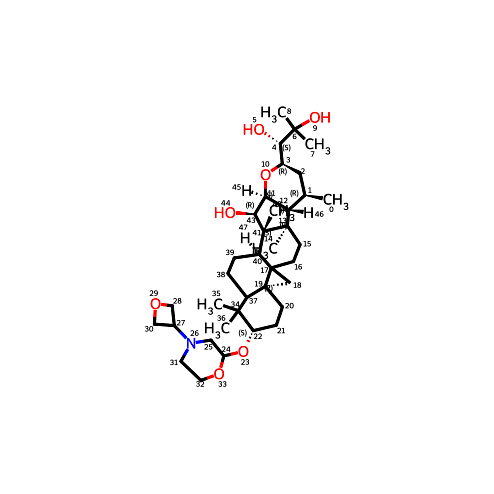 C[C@@H]1C[C@H]([C@H](O)C(C)(C)O)O[C@H]2[C@H]1[C@@]1(C)CCC34C[C@@]35CC[C@H](OC3CN(C6COC6)CCO3)C(C)(C)C5CC[C@H]4[C@]1(C)[C@H]2O